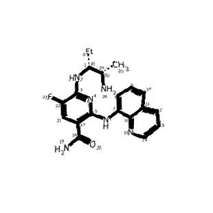 CC[C@@H](Nc1nc(Nc2cccc3cccnc23)c(C(N)=O)cc1F)[C@H](C)N